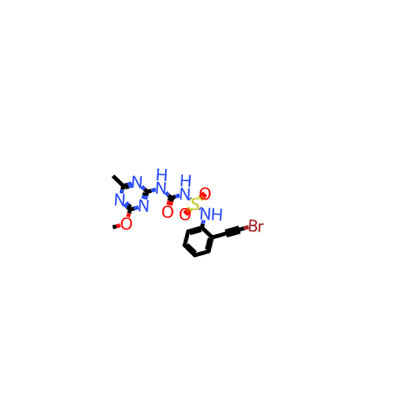 COc1nc(C)nc(NC(=O)NS(=O)(=O)Nc2ccccc2C#CBr)n1